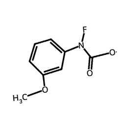 COc1cccc(N(F)C([O])=O)c1